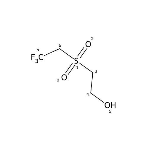 O=S(=O)(CCO)CC(F)(F)F